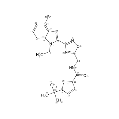 CCn1c(-c2noc(CNC(=O)c3ccn(C(C)(C)C)c3)n2)cc2c(Br)cccc21